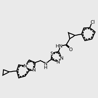 O=C(Nc1nnc(NCc2cn3cc(C4CC4)ccc3n2)s1)C1CC1c1cccc(Cl)c1